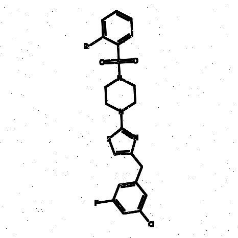 O=S(=O)(c1ccccc1Br)N1CCN(c2nc(Cc3cc(F)cc(Cl)c3)cs2)CC1